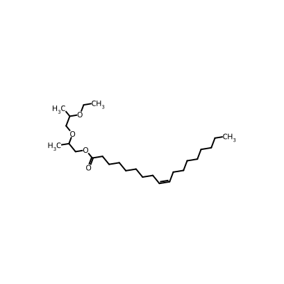 CCCCCCCC/C=C\CCCCCCCC(=O)OCC(C)OCC(C)OCC